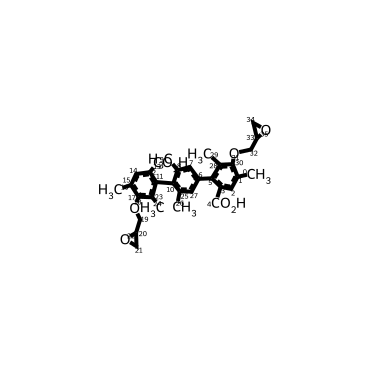 Cc1cc(C(=O)O)c(-c2cc(C)c(-c3c(C(=O)O)cc(C)c(OCC4CO4)c3C)c(C)c2)c(C)c1OCC1CO1